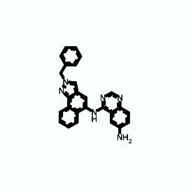 Nc1ccc2ncnc(Nc3cc4cn(Cc5ccccc5)nc4c4ccccc34)c2c1